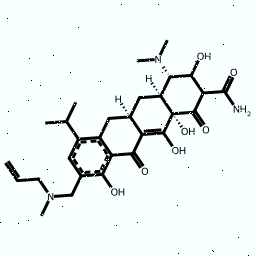 C=CCN(C)Cc1cc(C(C)C)c2c(c1O)C(=O)C1=C(O)[C@]3(O)C(=O)C(C(N)=O)C(O)[C@@H](N(C)C)[C@@H]3C[C@@H]1C2